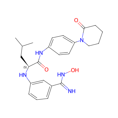 CC(C)C[C@H](Nc1cccc(C(=N)NO)c1)C(=O)Nc1ccc(N2CCCCC2=O)cc1